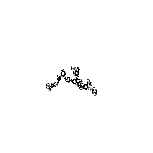 CC1(C)CC[C@H](CN2CCN(c3ccc(C(=O)NS(=O)(=O)c4ccc(NC[C@H]5COCCO5)c([N+](=O)[O-])c4)c(Oc4cnc5[nH]ccc5c4)c3)CC2)[C@@H](c2cc(CN3CC4(C3)CN(S(C)(=O)=O)C4)cs2)C1